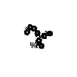 CC1(C)c2ccccc2-c2cc(N(c3ccc(-c4ccc5ccc6oc7ccccc7c6c5c4)cc3)c3ccc4c(c3)oc3ccccc34)ccc21